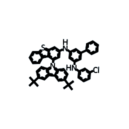 CC(C)(C)c1ccc2c(c1)c1cc(C(C)(C)C)ccc1n2-c1cc(Nc2cc(Nc3cccc(Cl)c3)cc(-c3ccccc3)c2)cc2sc3ccccc3c12